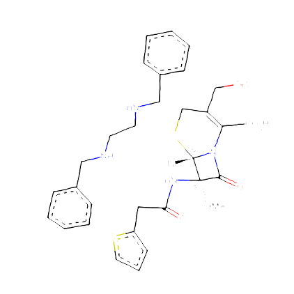 CO[C@@]1(NC(=O)Cc2cccs2)C(=O)N2C(C(=O)O)=C(CO)CS[C@H]21.c1ccc(CNCCNCc2ccccc2)cc1